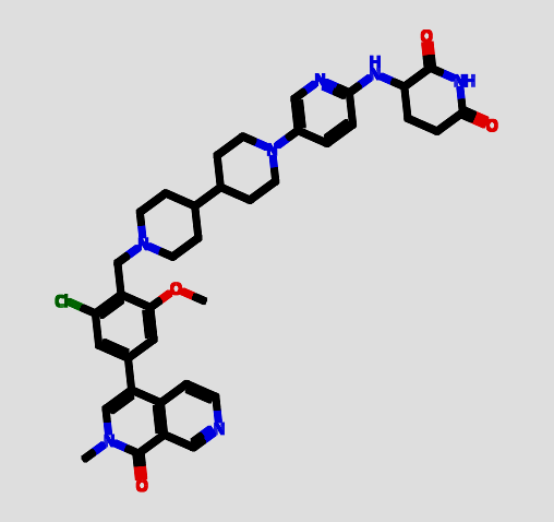 COc1cc(-c2cn(C)c(=O)c3cnccc23)cc(Cl)c1CN1CCC(C2CCN(c3ccc(NC4CCC(=O)NC4=O)nc3)CC2)CC1